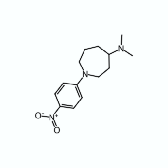 CN(C)C1CCCN(c2ccc([N+](=O)[O-])cc2)CC1